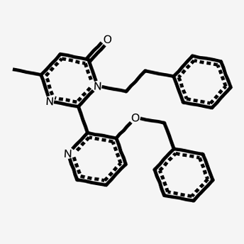 Cc1cc(=O)n(CCc2ccccc2)c(-c2ncccc2OCc2ccccc2)n1